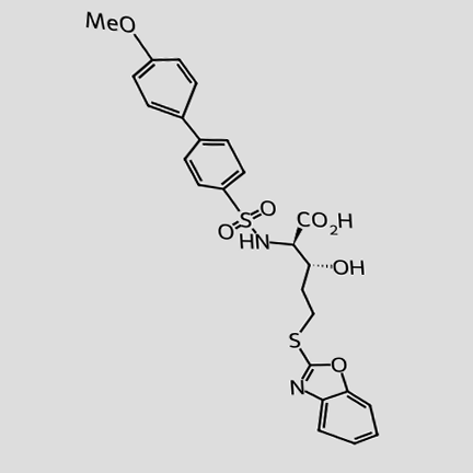 COc1ccc(-c2ccc(S(=O)(=O)N[C@@H](C(=O)O)[C@H](O)CCSc3nc4ccccc4o3)cc2)cc1